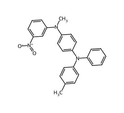 Cc1ccc(N(c2ccccc2)c2ccc(N(C)c3cccc([N+](=O)[O-])c3)cc2)cc1